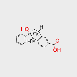 O=C(O)c1ccc2c(c1)[C@@H]1C[C@H]2[C@@](O)(c2ccccc2)C1